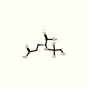 O=C(O)CC[C@H](NC(Cl)(Cl)CCl)C(=O)O